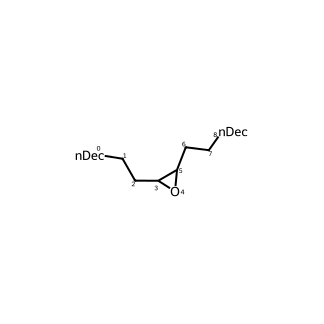 CCCCCCCCCCCCC1OC1CCCCCCCCCCCC